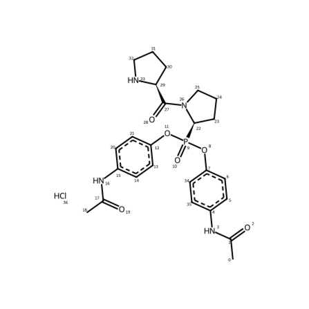 CC(=O)Nc1ccc(OP(=O)(Oc2ccc(NC(C)=O)cc2)[C@@H]2CCCN2C(=O)[C@@H]2CCCN2)cc1.Cl